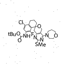 CSc1nc2c(c(N3CCCOCC3)n1)COC1(CCCc3c(Cl)cc(NC(=O)OC(C)(C)C)c(F)c31)C2